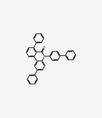 O=c1c2c(-c3ccccc3)cccc2c2cc(-c3ccccc3)ccc2n1-c1ccc(-c2ccccc2)cc1